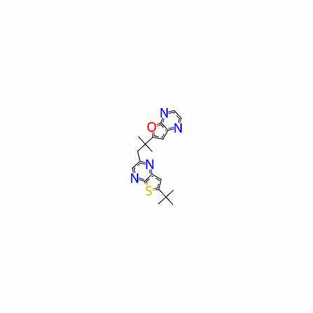 CC(C)(C)c1cc2nc(CC(C)(C)c3cc4nccnc4o3)cnc2s1